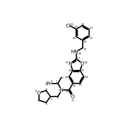 CC(C)C(C)N(CC1CCOC1)C(=O)c1ccc2oc(NCc3cccc(Cl)c3)nc2c1